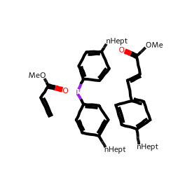 C=CC(=O)OC.CCCCCCCc1ccc(C=CC(=O)OC)cc1.CCCCCCCc1ccc([I+]c2ccc(CCCCCCC)cc2)cc1